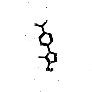 Cc1c(C(=O)O)cnn1-c1ccc(C(F)F)cn1